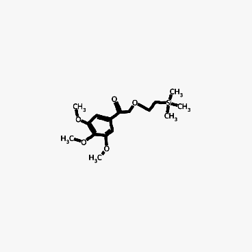 COc1cc(C(=O)COCC[Si](C)(C)C)cc(OC)c1OC